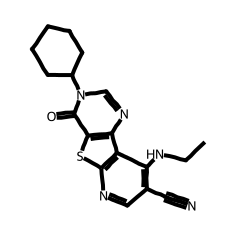 CCNc1c(C#N)cnc2sc3c(=O)n(C4CCCCC4)cnc3c12